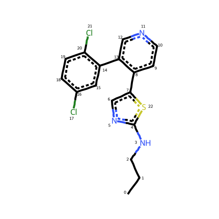 CCCNc1ncc(-c2ccncc2-c2cc(Cl)ccc2Cl)s1